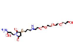 NC(O)CCN1C(=O)CC(SCCCNCCOCOCCOCCOCCCO)C1=O